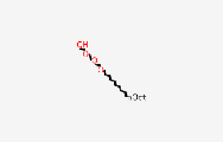 CCCCCCCCC=CCCCCCCCCOCCOCCOCCO